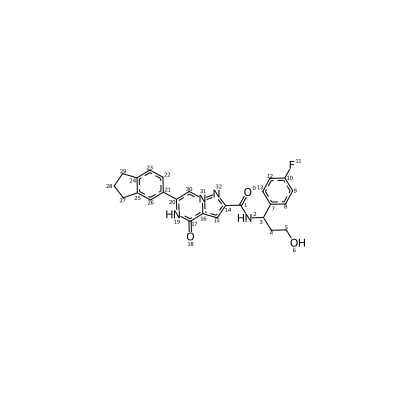 O=C(NC(CCO)c1ccc(F)cc1)c1cc2c(=O)[nH]c(-c3ccc4c(c3)CCC4)cn2n1